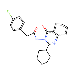 O=C(Cc1ccc(F)cc1)Nn1c(C2CCCCC2)nc2ccccc2c1=O